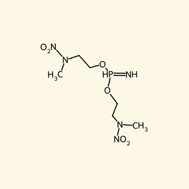 CN(CCO[PH](=N)OCCN(C)[N+](=O)[O-])[N+](=O)[O-]